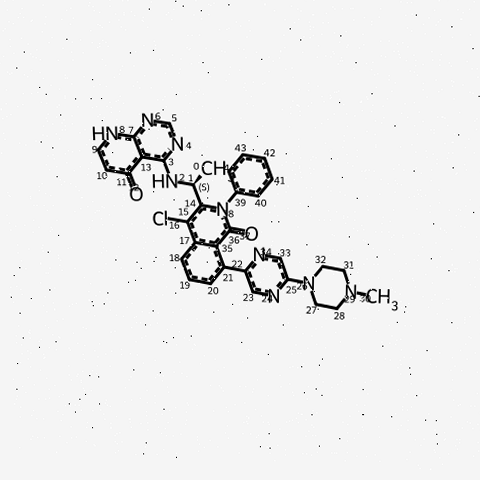 C[C@H](Nc1ncnc2[nH]ccc(=O)c12)c1c(Cl)c2cccc(-c3cnc(N4CCN(C)CC4)cn3)c2c(=O)n1-c1ccccc1